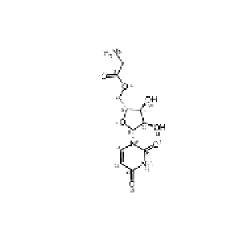 NCC(=O)OC[C@H]1O[C@@H](n2ccc(=O)[nH]c2=O)[C@H](O)[C@@H]1O